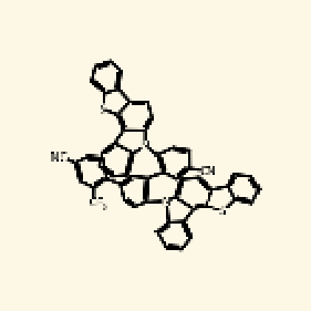 N#Cc1ccc(-n2c3ccccc3c3c4sc5ccccc5c4ccc32)c(-c2cc(-c3ccc(C#N)cc3C(F)(F)F)ccc2-n2c3ccccc3c3c4sc5ccccc5c4ccc32)c1